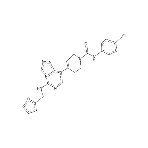 O=C(Nc1ccc(Cl)cc1)N1CC=C(c2cnc(NCc3ccco3)n3cnnc23)CC1